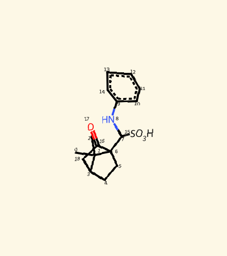 CC1(C)C2CCC1(C(Nc1ccccc1)S(=O)(=O)O)C(=O)C2